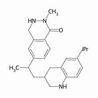 CC(C)c1ccc2c(c1)CC(CC(C)c1ccc3c(c1)CNN(C)C3=O)CN2